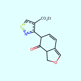 CCOC(=O)c1csnc1C1C=CC2=COCC2C1=O